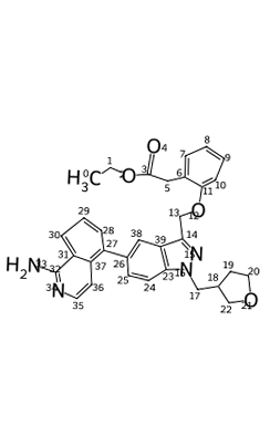 CCOC(=O)Cc1ccccc1OCc1nn(CC2CCOC2)c2ccc(-c3cccc4c(N)nccc34)cc12